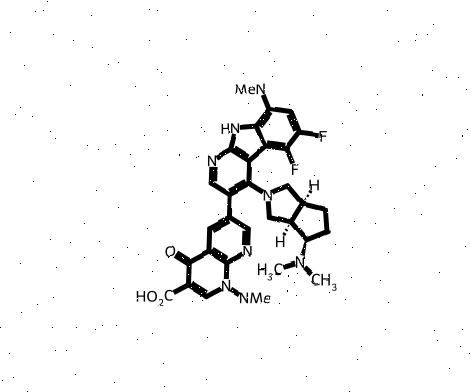 CNc1cc(F)c(F)c2c1[nH]c1ncc(-c3cnc4c(c3)c(=O)c(C(=O)O)cn4NC)c(N3C[C@H]4CC[C@@H](N(C)C)[C@H]4C3)c12